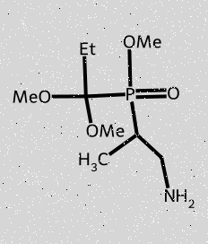 CCC(OC)(OC)P(=O)(OC)C(C)CN